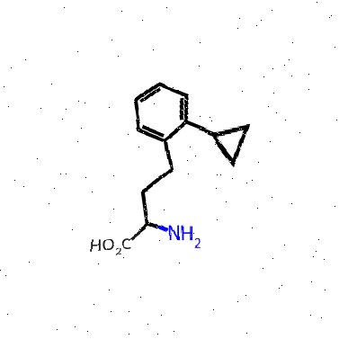 NC(CCc1ccccc1C1CC1)C(=O)O